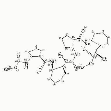 CCCCOC(=O)[C@H](CC)[C@H]1CCCC[C@H]1NC(=O)[C@@H]1CCCC1NC(=O)[C@H](CC)[C@H]1CCCC[C@H]1NC(=O)[C@@H]1CCC[C@H]1NC(=O)OC(C)(C)C